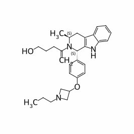 C=C(CCCO)N1[C@@H](c2ccc(OC3CN(CCC)C3)cc2)c2[nH]c3ccccc3c2C[C@@H]1C